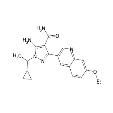 CCOc1ccc2cc(-c3nn(C(C)C4CC4)c(N)c3C(N)=O)cnc2c1